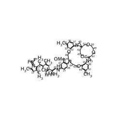 CCC/C=C(/C=C(C)\C(C)=C(/C)c1c(C)cc(C)n1B(F)F)C(\N)=C\Nc1ccc(N2CCOc3cc(C)ccc3N3CC34CCOCC3(COCCOC4)CN3c3ccc(C)cc3OCC2)c(OC)c1